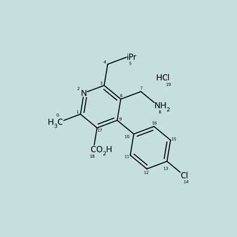 Cc1nc(CC(C)C)c(CN)c(-c2ccc(Cl)cc2)c1C(=O)O.Cl